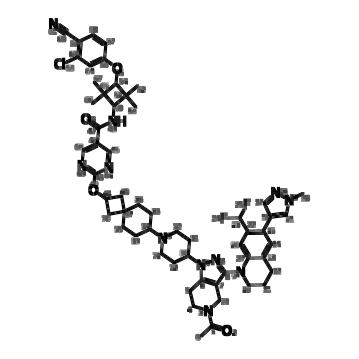 CC(=O)N1CCc2c(c(N3CCCc4cc(-c5cnn(C)c5)c(C(F)F)cc43)nn2C2CCN(C3CCC4(CC3)CC(Oc3ncc(C(=O)NC5C(C)(C)C(Oc6ccc(C#N)c(Cl)c6)C5(C)C)cn3)C4)CC2)C1